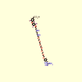 N=C(N)NCc1ccc(OCCOCCOCCOCCOCCOCCOCCNCCCNCCCOc2c(I)cc(Oc3c(I)cc(CC(=O)O)cc3I)cc2I)cc1